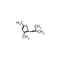 CC(C)=Cc1sc(C)cc1C